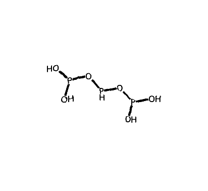 OP(O)OPOP(O)O